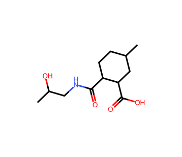 CC(O)CNC(=O)C1CCC(C)CC1C(=O)O